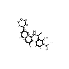 Cc1cc(NC(C)c2cccc(C(F)F)c2F)c2nc(N3CCOCC3)ncc2n1